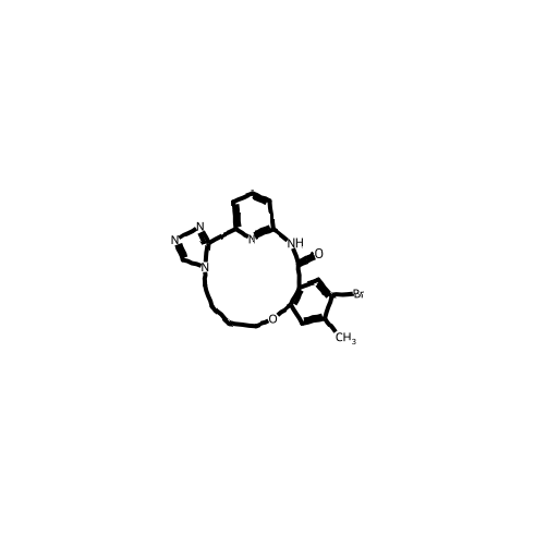 Cc1cc2c(cc1Br)C(=O)Nc1cccc(n1)-c1nncn1CCCCO2